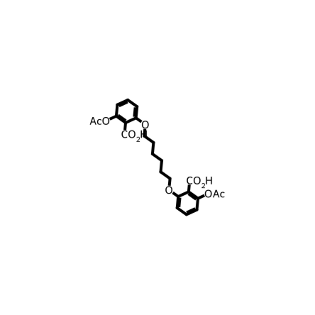 CC(=O)Oc1cccc(OCCCCCCOc2cccc(OC(C)=O)c2C(=O)O)c1C(=O)O